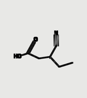 CC[C](C#N)CC(=O)O